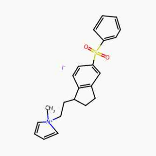 C[N+]1(CCC2CCc3cc(S(=O)(=O)c4ccccc4)ccc32)C=CC=C1.[I-]